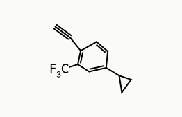 C#Cc1ccc(C2CC2)cc1C(F)(F)F